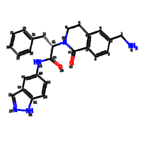 NCc1ccc2c(c1)CCN([C@@H](Cc1ccccc1)C(=O)Nc1ccc3[nH]ncc3c1)C2=O